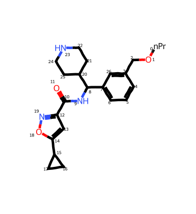 CCCOCc1cccc(C(NC(=O)c2cc(C3CC3)on2)C2CCNCC2)c1